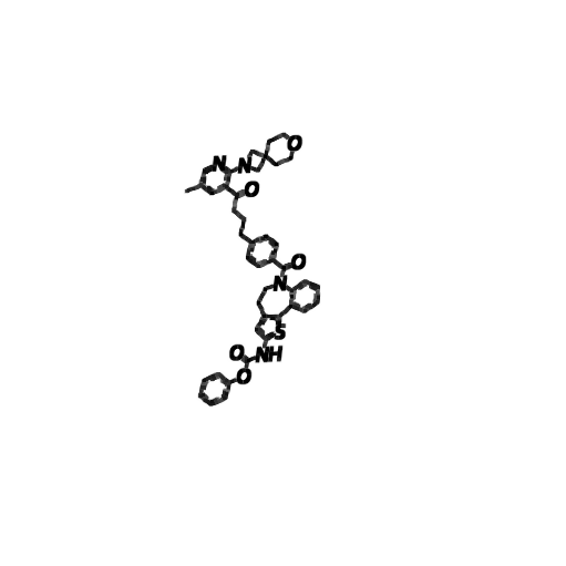 Cc1cnc(N2CC3(CCOCC3)C2)c(C(=O)CCCc2ccc(C(=O)N3CCc4cc(NC(=O)Oc5ccccc5)sc4-c4ccccc43)cc2)c1